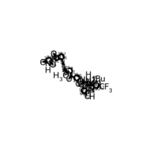 COc1cc(C(=O)N2CCC[C@@]3(C[C@@H]3C#Cc3cccc4c3CN(C3CCC(=O)NC3=O)C4=O)[C@H]2C)ccc1NC(=O)[C@@H]1N[C@@H](CC(C)(C)C)[C@@]2(CNc3cc(C(F)(F)F)ncc32)[C@H]1c1cccc(Cl)c1F